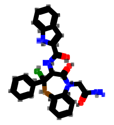 NC(=O)CN1C(=O)C(NC(=O)c2cc3ccccc3[nH]2)C(Cl)(c2ccccc2)Sc2ccccc21